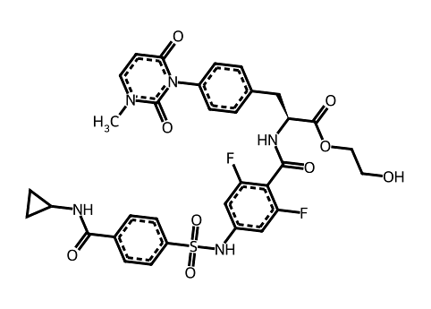 Cn1ccc(=O)n(-c2ccc(C[C@H](NC(=O)c3c(F)cc(NS(=O)(=O)c4ccc(C(=O)NC5CC5)cc4)cc3F)C(=O)OCCO)cc2)c1=O